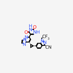 N#Cc1nn(CC(F)(F)F)c2cc([C@H]3C[C@@H]3c3cc(-c4c[nH]c(=O)[nH]c4=O)nn4ccnc34)ccc12